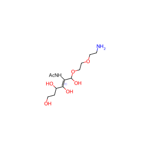 CC(=O)N/C(=C(/O)C(O)CCO)C(O)OCCOCCN